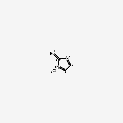 [C].[Ru]=[C]1N=CC=N1